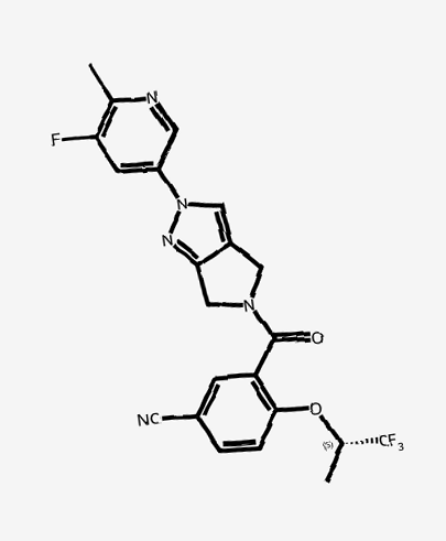 Cc1ncc(-n2cc3c(n2)CN(C(=O)c2cc(C#N)ccc2O[C@@H](C)C(F)(F)F)C3)cc1F